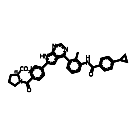 Cc1c(NC(=O)c2ccc(C3CC3)cc2)cccc1-c1ncnc2[nH]c(-c3ccc(C(=O)N4CCC[C@H]4C(=O)O)cc3)cc12